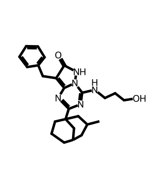 CC1CC2CCCC(c3nc(NCCCO)n4[nH]c(=O)c(Cc5ccccc5)c4n3)(C1)C2